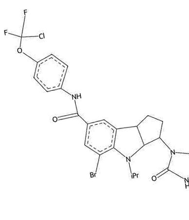 CC(C)N1c2c(Br)cc(C(=O)Nc3ccc(OC(F)(F)Cl)cc3)cc2C2CCC(N3CCNC3=O)C21